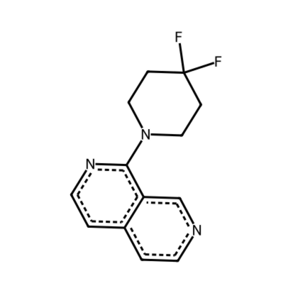 FC1(F)CCN(c2nccc3ccncc23)CC1